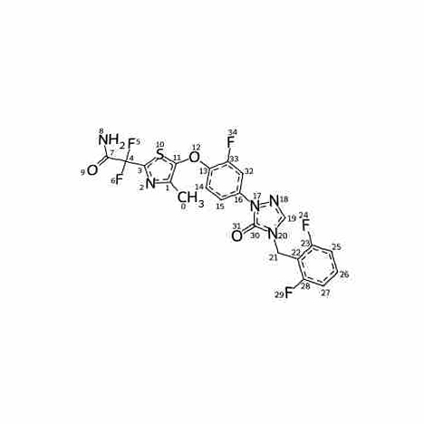 Cc1nc(C(F)(F)C(N)=O)sc1Oc1ccc(-n2ncn(Cc3c(F)cccc3F)c2=O)cc1F